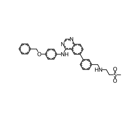 CS(=O)(=O)CCNCc1cccc(-c2ccc3ncnc(Nc4ccc(OCc5ccccc5)cc4)c3c2)c1